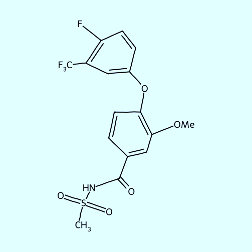 COc1cc(C(=O)NS(C)(=O)=O)ccc1Oc1ccc(F)c(C(F)(F)F)c1